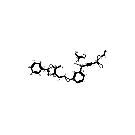 CCOC(=O)C#CC(OC(C)=O)c1cccc(OCCc2nc(-c3ccccc3)oc2C)c1